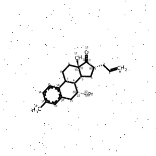 C=CC[C@@H]1CC2C3C(CC[C@]2(C)C1=O)c1ccc(C)cc1C[C@H]3CCC